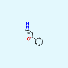 O=C(C[C@H]1CN1)c1ccccc1